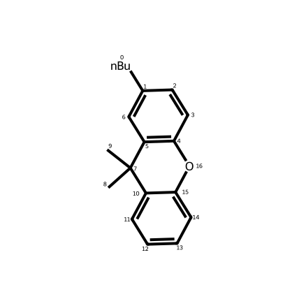 CCCCc1ccc2c(c1)C(C)(C)c1ccccc1O2